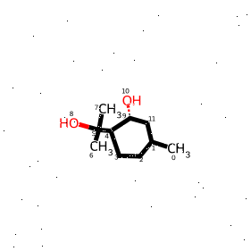 CC1CCC(C(C)(C)O)[C@H](O)C1